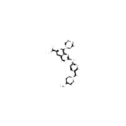 CC(O)c1cc2cnc(Nc3ccc(CN4CCC(O)CC4)cn3)nc2c(N2CCOCC2)n1